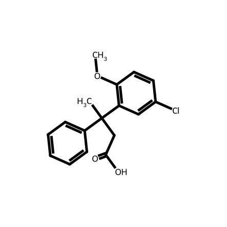 COc1ccc(Cl)cc1C(C)(CC(=O)O)c1ccccc1